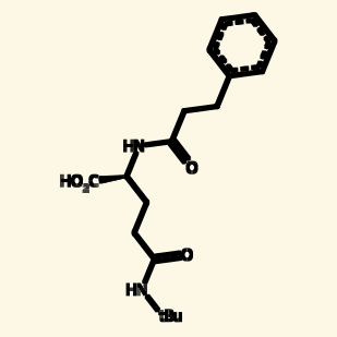 CC(C)(C)NC(=O)CC[C@H](NC(=O)CCc1ccccc1)C(=O)O